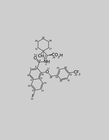 CC1([C@H](NC(=O)c2ccc3cc(F)ccc3c2OCc2ccc(C(F)(F)F)cc2)C(=O)O)CCCCC1